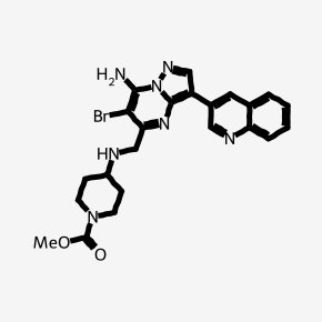 COC(=O)N1CCC(NCc2nc3c(-c4cnc5ccccc5c4)cnn3c(N)c2Br)CC1